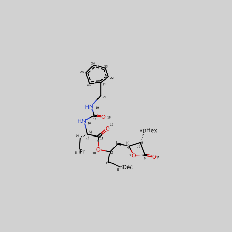 CCCCCCCCCCCC(C[C@@H]1OC(=O)[C@H]1CCCCCC)OC(=O)[C@H](CC(C)C)NC(=O)NCc1ccccc1